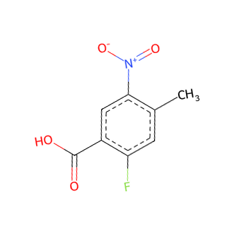 Cc1cc(F)c(C(=O)O)cc1[N+](=O)[O-]